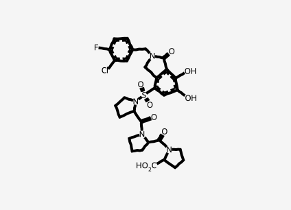 O=C(O)C1CCCN1C(=O)C1CCCN1C(=O)C1CCCN1S(=O)(=O)c1cc(O)c(O)c2c1CN(Cc1ccc(F)c(Cl)c1)C2=O